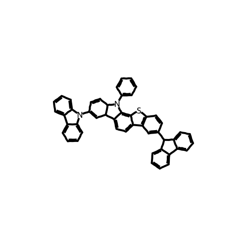 C1=CC2C(C=C1n1c3ccccc3c3ccccc31)c1ccc3c(sc4ccc(C5c6ccccc6-c6ccccc65)cc43)c1N2c1ccccc1